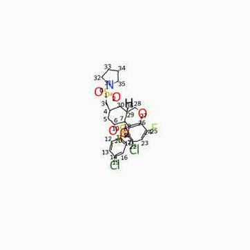 O=S(=O)(C[C@@H]1CC[C@@]2(S(=O)(=O)c3ccc(Cl)cc3)c3c(F)c(Cl)cc(F)c3OC[C@H]2C1)N1CCCC1